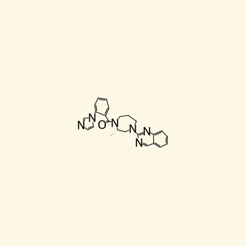 C[C@H]1CN(c2ncc3ccccc3n2)CCCN1C(=O)c1ccccc1-n1ccnc1